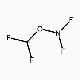 F[C](F)ON(F)F